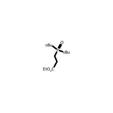 CCCCP(=O)(CCCC)CCC(=O)OCC